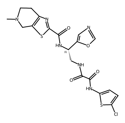 CN1CCc2nc(C(=O)N[C@@H](CNC(=O)C(=O)Nc3ccc(Cl)s3)c3cnco3)sc2C1